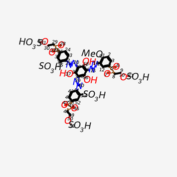 COc1ccc(S(=O)(=O)CCOS(=O)(=O)O)cc1/N=N/c1c(O)c(/N=N/c2ccc(S(=O)(=O)CCOS(=O)(=O)O)cc2S(=O)(=O)O)c(O)c(/N=N/c2ccc(S(=O)(=O)CCOS(=O)(=O)O)cc2S(=O)(=O)O)c1O